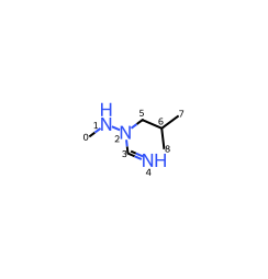 CNN(C=N)CC(C)C